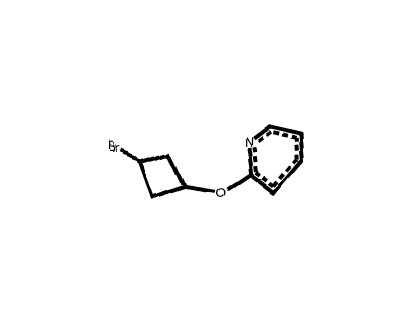 BrC1CC(Oc2ccccn2)C1